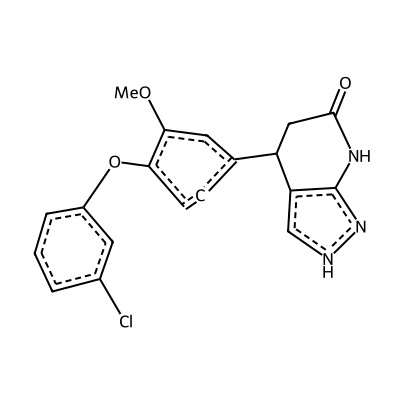 COc1cc(C2CC(=O)Nc3n[nH]cc32)ccc1Oc1cccc(Cl)c1